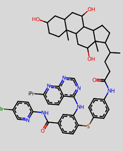 CC(C)c1ccc2c(Nc3cc(C(=O)Nc4ccc(Br)cn4)ccc3Sc3ccc(NC(=O)CCC(C)C4CCC5C6C(O)CC7CC(O)CCC7(C)C6CC(O)C45C)cc3)ncnc2n1